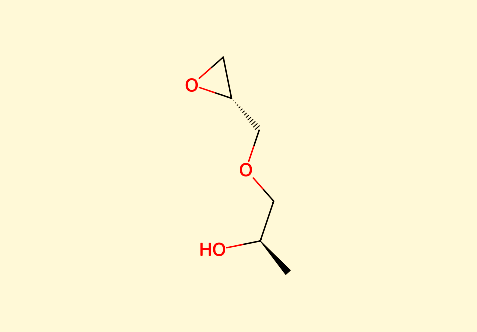 C[C@@H](O)COC[C@H]1CO1